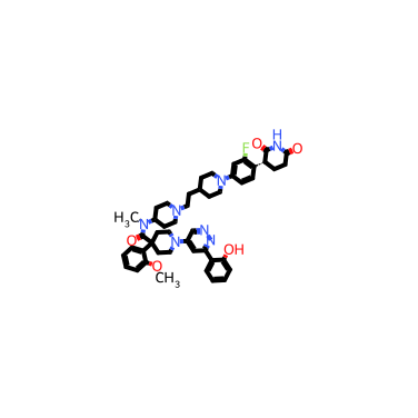 COc1ccccc1C1(C(=O)N(C)C2CCN(CCC3CCN(c4ccc([C@H]5CCC(=O)NC5=O)c(F)c4)CC3)CC2)CCN(c2cnnc(-c3ccccc3O)c2)CC1